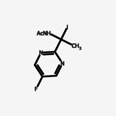 CC(=O)NC(C)(I)c1ncc(F)cn1